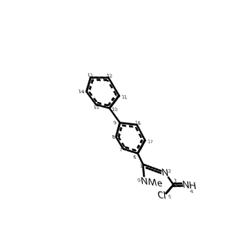 CN/C(=N\C(=N)Cl)c1ccc(-c2ccccc2)cc1